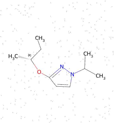 CC[C@@H](C)Oc1ccn(C(C)C)n1